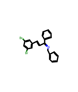 Brc1cc(Br)cc(/C=C/C(=N\Cc2ccccc2)c2ccccc2)c1